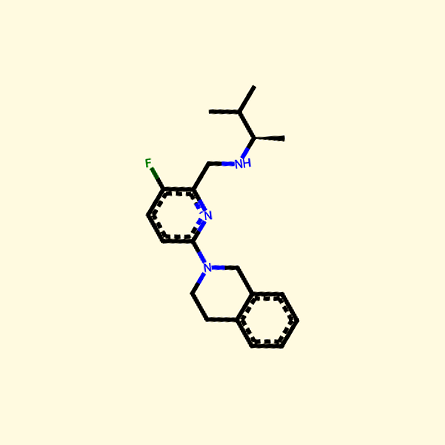 CC(C)[C@@H](C)NCc1nc(N2CCc3ccccc3C2)ccc1F